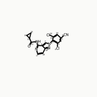 N#Cc1cc(Cl)c(-n2cc3c(NC(=O)C4CC4)nccc3n2)c(Cl)c1